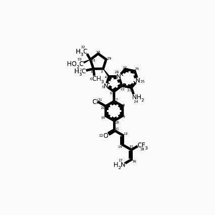 CC1(C)[C@H](c2nc(-c3ccc(C(=O)C=C/C(=C\N)C(F)(F)F)cc3Cl)c3c(N)nccn23)CC[C@]1(C)C(=O)O